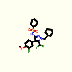 COc1ccc(-c2c(NS(=O)(=O)c3ccccc3)nn(Cc3ccccc3)c2C(F)F)cc1F